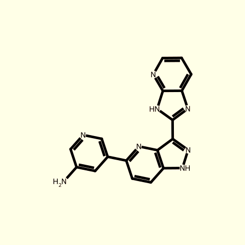 Nc1cncc(-c2ccc3[nH]nc(-c4nc5cccnc5[nH]4)c3n2)c1